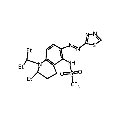 CCC(CC)N1c2ccc(N=Nc3nncs3)c(NS(=O)(=O)C(F)(F)F)c2CCC1CC